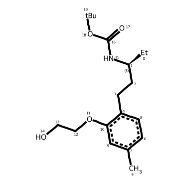 CC[C@@H](CCc1ccc(C)cc1OCCO)NC(=O)OC(C)(C)C